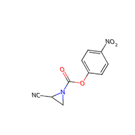 N#CC1CN1C(=O)Oc1ccc([N+](=O)[O-])cc1